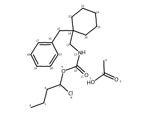 CC(=O)O.CCCC(Cl)OC(=O)NCC1(Cc2ccccc2)CCCCC1